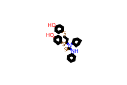 Oc1ccc(SCCC(Sc2ccc(O)cc2)N(C(=S)Nc2ccccc2)c2ccccc2)cc1